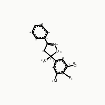 Fc1c(Cl)cc(C2(C(F)(F)F)CC(c3ccccc3)=NO2)cc1Cl